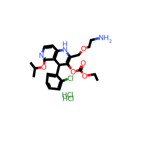 CCOC(=O)OC1=C(COCCN)Nc2ccnc(OC(C)C)c2C1c1ccccc1Cl.Cl.Cl